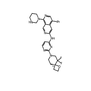 CC(C)c1cnc(N2CCCNC2)c2cnc(Nc3ccnc(N4CC[C@@]5(CCO5)C(F)(F)C4)n3)cc12